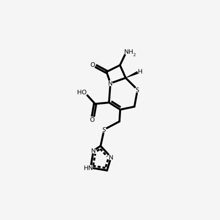 NC1C(=O)N2C(C(=O)O)=C(CSc3nc[nH]n3)CS[C@@H]12